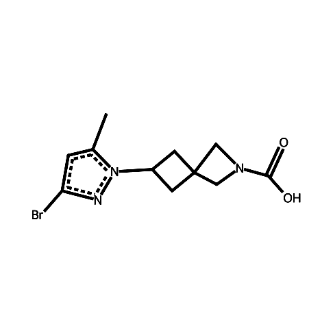 Cc1cc(Br)nn1C1CC2(C1)CN(C(=O)O)C2